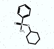 CP(=O)(OC1CCCCC1)c1ccccc1